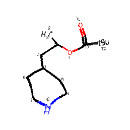 CC(CC1CCNCC1)OC(=O)C(C)(C)C